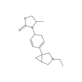 CCN1CC2CC2(C2=CCC(N3C(=O)OCC3C)C=C2)C1